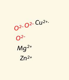 [Cu+2].[Mg+2].[O-2].[O-2].[O-2].[Zn+2]